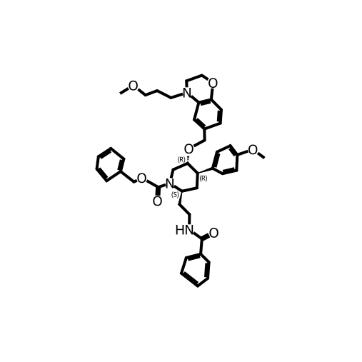 COCCCN1CCOc2ccc(CO[C@H]3CN(C(=O)OCc4ccccc4)[C@H](CCNC(=O)c4ccccc4)C[C@@H]3c3ccc(OC)cc3)cc21